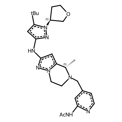 CC(=O)Nc1cc(CN2CCn3nc(Nc4cc(C(C)(C)C)n([C@H]5CCOC5)n4)cc3[C@@H]2C)ccn1